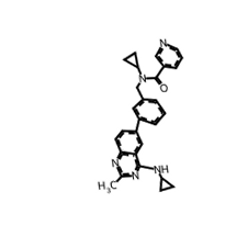 Cc1nc(NC2CC2)c2cc(-c3cccc(CN(C(=O)c4cccnc4)C4CC4)c3)ccc2n1